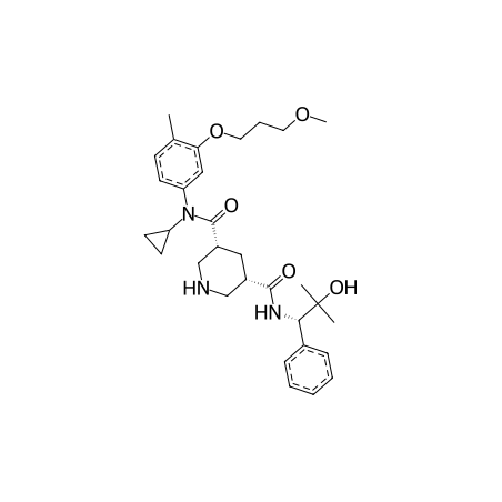 COCCCOc1cc(N(C(=O)[C@H]2CNC[C@@H](C(=O)N[C@@H](c3ccccc3)C(C)(C)O)C2)C2CC2)ccc1C